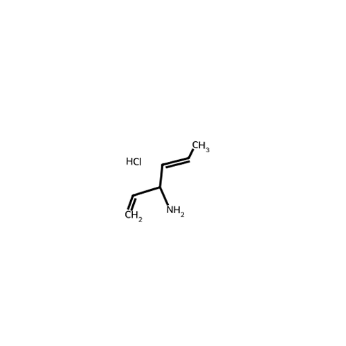 C=CC(N)C=CC.Cl